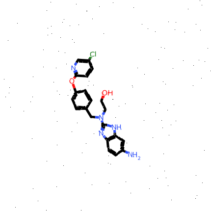 Nc1ccc2nc(N(CCO)Cc3ccc(Oc4ccc(Cl)cn4)cc3)[nH]c2c1